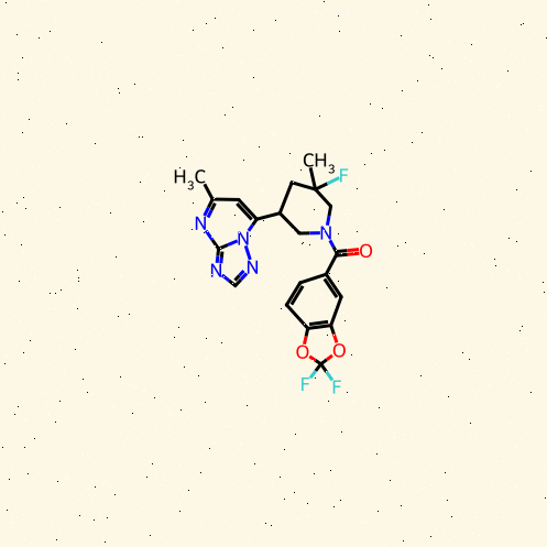 Cc1cc(C2CN(C(=O)c3ccc4c(c3)OC(F)(F)O4)CC(C)(F)C2)n2ncnc2n1